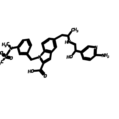 CC(Cc1ccc2c(c1)cc(C(=O)O)n2Cc1cccc(N(C)S(C)(=O)=O)c1)NCC(O)c1ccc(N)nc1